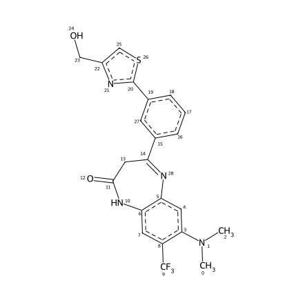 CN(C)c1cc2c(cc1C(F)(F)F)NC(=O)CC(c1cccc(-c3nc(CO)cs3)c1)=N2